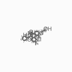 NC[C@@]1(c2ccccc2)Cc2c(cc(F)c(Cl)c2C2=C(C(N)=O)C=CC(OCCO)C2F)O1